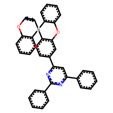 c1ccc(-c2cc(-c3ccc4c(c3)Oc3ccccc3[Si]43c4ccccc4Oc4ccccc43)nc(-c3ccccc3)n2)cc1